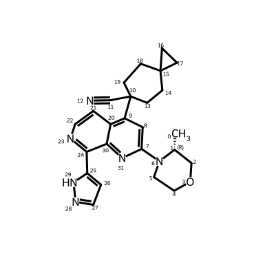 C[C@@H]1COCCN1c1cc(C2(C#N)CCC3(CC3)CC2)c2ccnc(-c3ccn[nH]3)c2n1